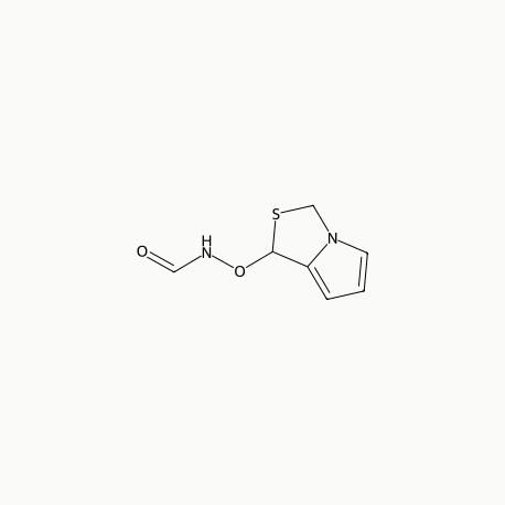 O=CNOC1SCn2cccc21